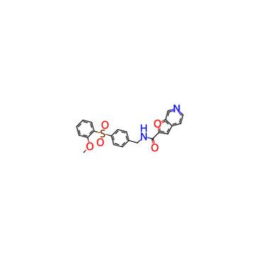 COc1ccccc1S(=O)(=O)c1ccc(CNC(=O)c2cc3ccncc3o2)cc1